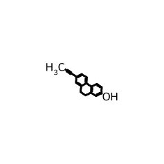 CC#Cc1ccc2c(c1)CCc1cc(O)ccc1-2